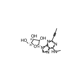 CC#Cc1nc(NC)c2ncn([C@@H]3O[C@H](CO)[C@H](O)C3O)c2n1